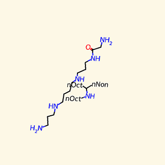 CCCCCCCCCC(CCCCCCCC)NCCCCCCCC.NCCCNCCCCNCCCNC(=O)CN